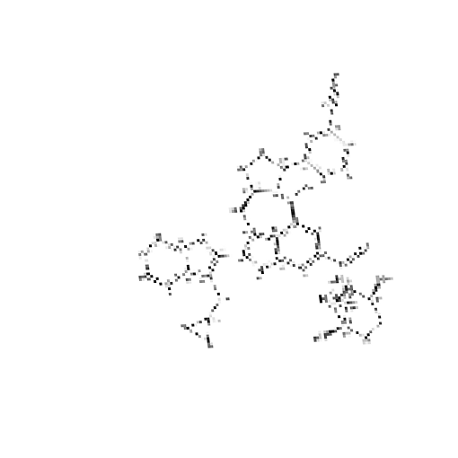 COc1cc(C(=O)N2C[C@H]3CC[C@@H]2[C@@H]3N)cc2nc(-c3cc4cccnc4n3CC3CC3)n(C[C@H]3CCN(c4cncc(C#N)c4)C3)c12